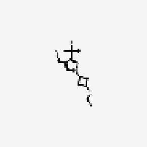 CCO[C@H]1C[C@@H](n2cc(N=O)c(C(F)(F)F)n2)C1